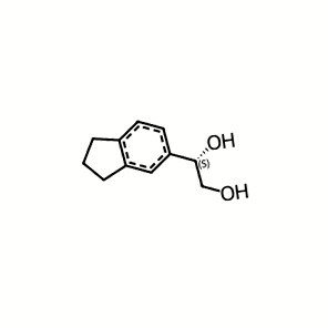 OC[C@@H](O)c1ccc2c(c1)CCC2